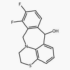 OC1c2ccc(F)c(F)c2CN2CCSc3cccc1c32